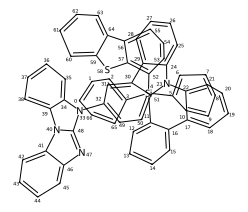 c1ccc([Si](c2ccccc2)(c2ccccc2-c2ccccc2-n2c3ccccc3c3cc(-n4c5ccccc5n5c6ccccc6nc45)ccc32)c2cccc3c2sc2ccccc23)cc1